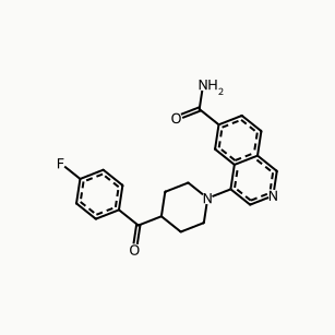 NC(=O)c1ccc2cncc(N3CCC(C(=O)c4ccc(F)cc4)CC3)c2c1